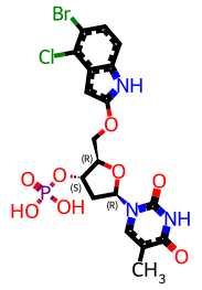 Cc1cn([C@H]2C[C@H](OP(=O)(O)O)[C@@H](COc3cc4c(Cl)c(Br)ccc4[nH]3)O2)c(=O)[nH]c1=O